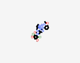 COc1cc(OC)c(Cl)c(N2Cc3cnc(N[C@@H]4CCCC[C@@H]4NC(C)=O)nc3N(Cc3cc[nH]n3)C2=O)c1Cl